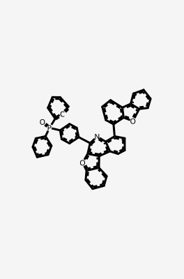 O=P(c1ccccc1)(c1ccccc1)c1ccc(-c2nc3c(-c4cccc5c4oc4ccccc45)cccc3c3c2oc2ccccc23)cc1